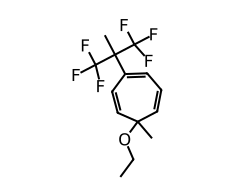 CCOC1(C)C=CC=C(C(C)(C(F)(F)F)C(F)(F)F)C=C1